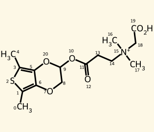 Cc1sc(C)c2c1OCC(OC(=O)CC[N+](C)(C)CC(=O)O)O2